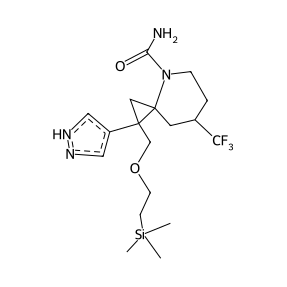 C[Si](C)(C)CCOCC1(c2cn[nH]c2)CC12CC(C(F)(F)F)CCN2C(N)=O